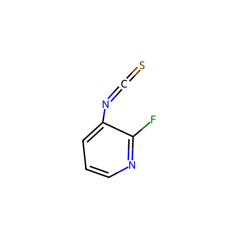 Fc1ncccc1N=C=S